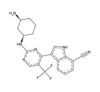 N#Cc1cccc2c(-c3nc(N[C@@H]4CCC[C@H](N)C4)ncc3C(F)(F)F)c[nH]c12